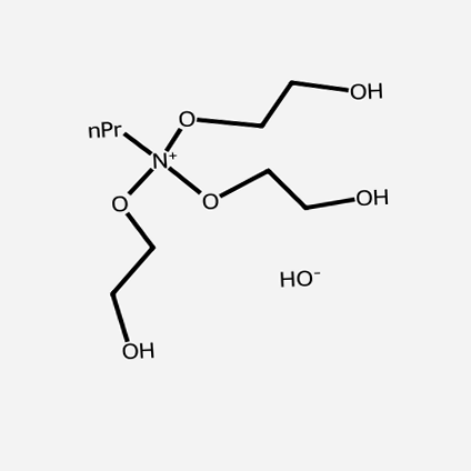 CCC[N+](OCCO)(OCCO)OCCO.[OH-]